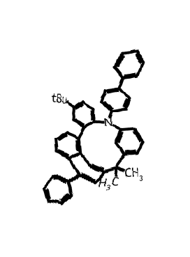 CC(C)(C)c1ccc2c(c1)-c1cccc3c(-c4ccccc4)cc(cc13)C(C)(C)c1cccc(c1)N2c1ccc(-c2ccccc2)cc1